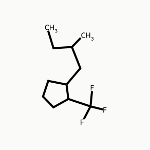 CCC(C)CC1CCCC1C(F)(F)F